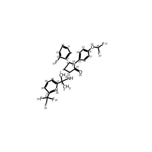 CC(C)(N[C@@H]1C[C@H](c2ccccc2F)N(c2ccc(OC(F)F)cc2)C1=O)c1cccc(C(F)(F)F)n1